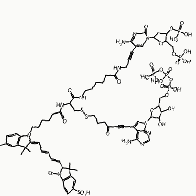 CCN1c2ccc(S(=O)(=O)O)cc2C(C)(C)C1/C=C/C=C/C=C1/N(CCCCCC(=O)NC(CSSCCCC(=O)C#Cc2cn(C3OC(COP(=O)(O)OP(=O)(O)OP(=O)(O)O)C(O)C3O)c3ncnc(N)c23)C(=O)NCCCCCC(=O)NCC#Cc2cn(C3CC(OP(=O)(O)O)C(COP(=O)(O)O)O3)c(=O)nc2N)c2ccc(S(=O)(=O)O)cc2C1(C)C